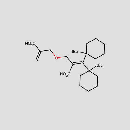 C=C(COCC(C(=O)O)=C(C1(C(C)(C)C)CCCCC1)C1(C(C)(C)C)CCCCC1)C(=O)O